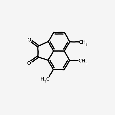 Cc1cc(C)c2c(C)ccc3c2c1C(=O)C3=O